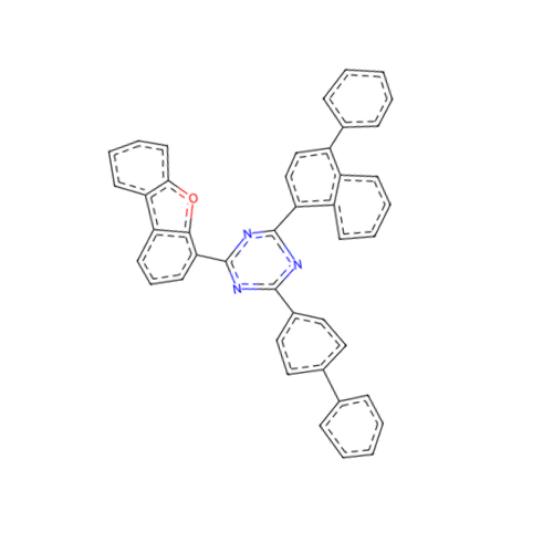 c1ccc(-c2ccc(-c3nc(-c4ccc(-c5ccccc5)c5ccccc45)nc(-c4cccc5c4oc4ccccc45)n3)cc2)cc1